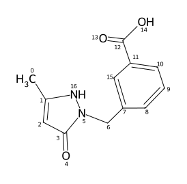 Cc1cc(=O)n(Cc2cccc(C(=O)O)c2)[nH]1